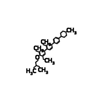 CCc1cc(-c2ccc(C3CCC(C)CC3)cc2)ccc1-c1cc(CC)c(OCCC(CC)CC)c(CC)c1